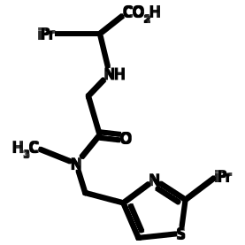 CC(C)c1nc(CN(C)C(=O)CNC(C(=O)O)C(C)C)cs1